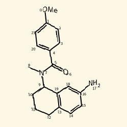 COc1ccc(C(=O)N(C)C2CCCc3ccc(N)cc32)cc1